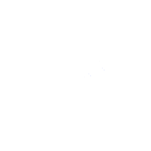 C=C(/N=C(\N=C(/C)c1ccc2cc(C)ccc2c1)c1ccccc1)c1ccccc1